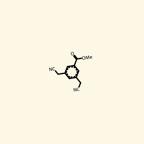 COC(=O)c1cc(CC#N)cc(CC#N)c1